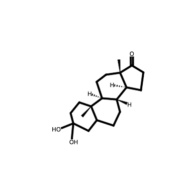 C[C@]12CCC(O)(O)CC1CC[C@@H]1[C@@H]2CC[C@]2(C)C(=O)CC[C@@H]12